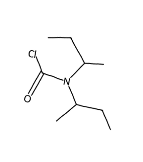 CCC(C)N(C(=O)Cl)C(C)CC